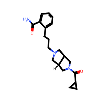 NC(=O)c1ccccc1[CH]CCN1CC2CN(C(=O)C3CC3)C[C@@H]2C1